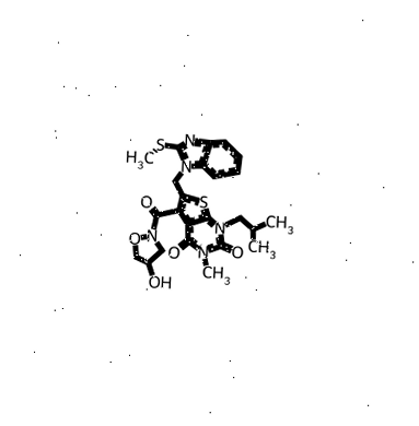 CSc1nc2ccccc2n1Cc1sc2c(c1C(=O)N1CC(O)CO1)c(=O)n(C)c(=O)n2CC(C)C